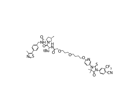 Cc1ncsc1-c1ccc(CNC(=O)[C@@H]2C[C@@H](C)CN2C(=O)[C@@H](NC(=O)COCCCOCCCCOc2ccc(N3C(=S)N(c4ccc(C#N)c(C(F)(F)F)c4)C(=O)C3(C)C)cn2)C(C)(C)C)cc1